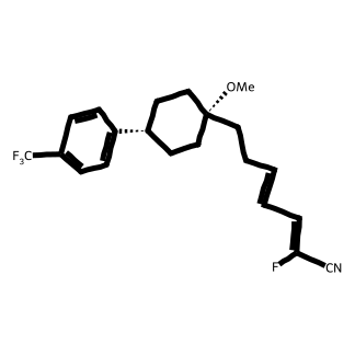 CO[C@]1(CCC=CC=C(F)C#N)CC[C@H](c2ccc(C(F)(F)F)cc2)CC1